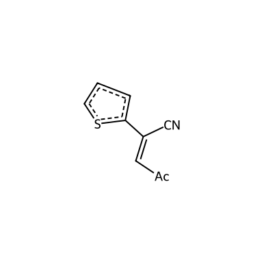 CC(=O)/C=C(\C#N)c1cccs1